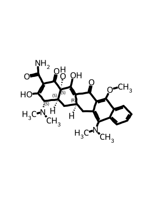 COc1c2c(c(N(C)C)c3ccccc13)C[C@H]1C[C@H]3[C@H](N(C)C)C(O)=C(C(N)=O)C(=O)[C@@]3(O)C(O)=C1C2=O